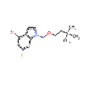 C[Si](C)(C)CCOCn1ccc2c(Br)cc(F)cc21